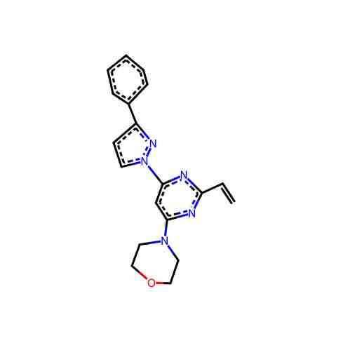 C=Cc1nc(N2CCOCC2)cc(-n2ccc(-c3ccccc3)n2)n1